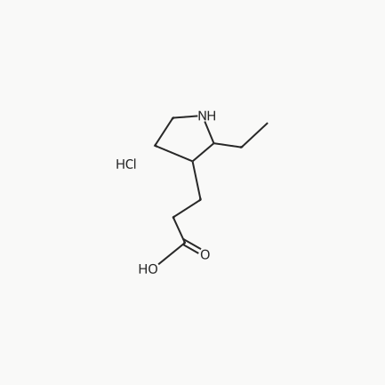 CCC1NCCC1CCC(=O)O.Cl